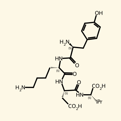 CC(C)[C@H](NC(=O)[C@H](CC(=O)O)NC(=O)[C@H](CCCCN)NC(=O)[C@@H](N)Cc1ccc(O)cc1)C(=O)O